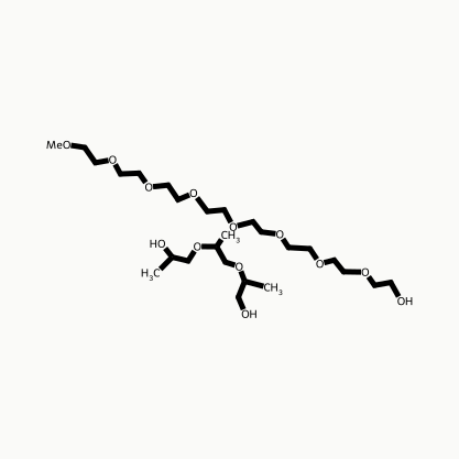 CC(O)COC(C)COC(C)CO.COCCOCCOCCOCCOCCOCCOCCOCCO